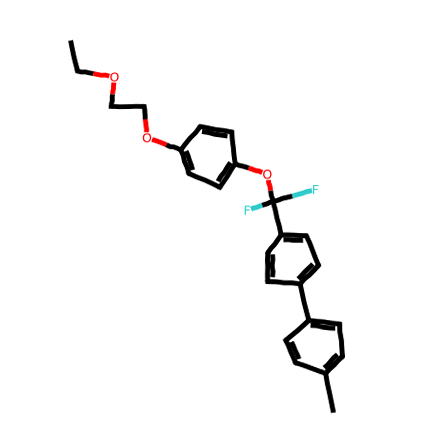 CCOCCOc1ccc(OC(F)(F)c2ccc(-c3ccc(C)cc3)cc2)cc1